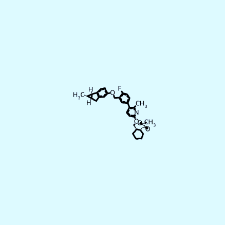 Cc1nc(OC[C@@H]2CCCC[C@H]2S(C)(=O)=O)ccc1-c1ccc(F)c(COc2ccc3c(c2)C[C@H]2[C@H](C)[C@@H]32)c1